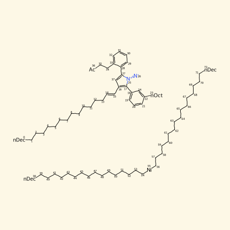 CCCCCCCCCCCCCCCCCCCCCCCC=CC1=C(c2cccc(CCCCCCCC)c2)[N+](=[N-])C(c2ccccc2CCC(C)=O)=C1.CCCCCCCCCCCCCCCCCCCCCCCCC[CH2][Ni][CH2]CCCCCCCCCCCCCCCCCCCCCCCCC